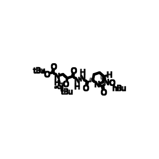 CCCCON1C(=O)N2C[C@@H]1CC[C@H]2C(=O)NNC(=O)C(CNC(=O)OC(C)(C)C)O[Si](C)(C)C(C)(C)C